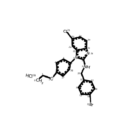 CCOc1ccc(-n2c(NCc3ccc(Br)cc3)nc3ccc(Cl)cc32)cc1.Cl